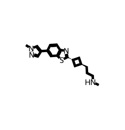 CNCCC[C@H]1C[C@H](c2nc3ccc(-c4cnn(C)c4)cc3s2)C1